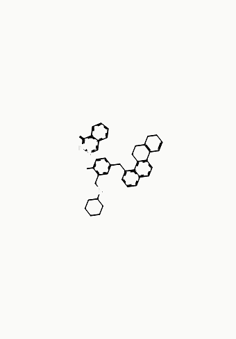 Fc1ccc(Cc2cccc3ccc4c(c23)CCC2=C4C=CCC2)cc1CNC1CCCCC1.O=c1[nH]ncc2ccccc12